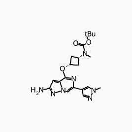 Cn1cc(-c2cn3nc(N)cc3c(O[C@H]3C[C@@H](N(C)C(=O)OC(C)(C)C)C3)n2)cn1